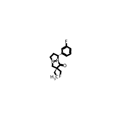 CC[C@@]1(CF)CN2CC[C@H](c3cccc(F)c3)N2C1=O